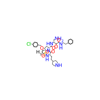 CS(=O)(=O)N[C@H](CCC1CCNCC1)C(=O)N1C[C@H](OCc2ccc(Cl)cc2)C[C@H]1C(=O)N[C@@H](CN)C(=O)C(=O)NCCc1ccccc1